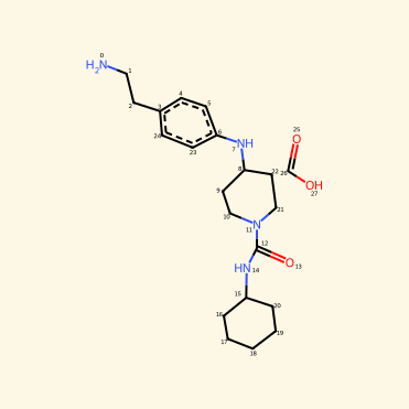 NCCc1ccc(NC2CCN(C(=O)NC3CCCCC3)CC2)cc1.O=CO